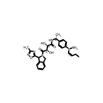 Cc1noc(C2c3ccccc3CN2C(=O)[C@H](O)[C@@H](O)C(=O)N[C@H](C)c2ccc(N(N)/C=C\CI)cc2)n1